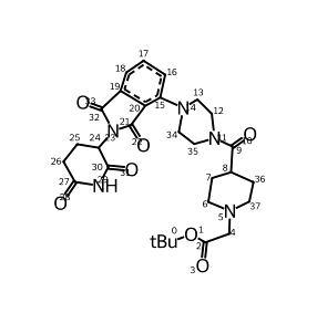 CC(C)(C)OC(=O)CN1CCC(C(=O)N2CCN(c3cccc4c3C(=O)N(C3CCC(=O)NC3=O)C4=O)CC2)CC1